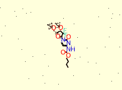 CCCCOC(=O)Nc1ccn([C@@H]2O[C@H](CO[Si](C)(C)C)C(O[Si](C)(C)C)C2(F)F)c(=O)n1